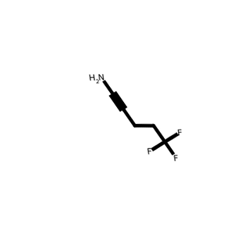 NC#CCCC(F)(F)F